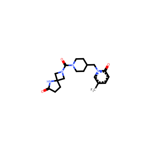 O=C1CCC2(CN(C(=O)N3CCC(Cn4cc(C(F)(F)F)ccc4=O)CC3)C2)N1